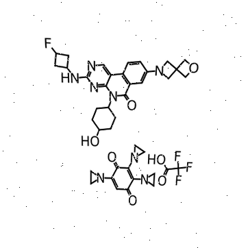 O=C(O)C(F)(F)F.O=C1C=C(N2CC2)C(=O)C(N2CC2)=C1N1CC1.O=c1c2cc(N3CC4(COC4)C3)ccc2c2cnc(NC3CC(F)C3)nc2n1C1CCC(O)CC1